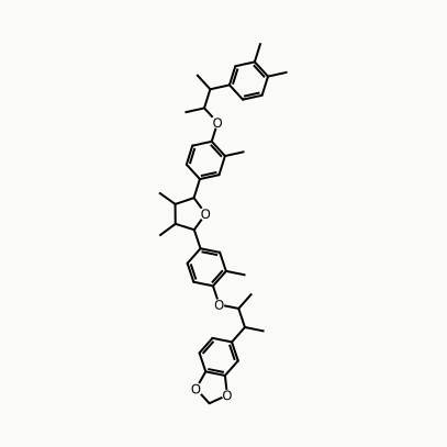 Cc1ccc(C(C)C(C)Oc2ccc(C3OC(c4ccc(OC(C)C(C)c5ccc6c(c5)OCO6)c(C)c4)C(C)C3C)cc2C)cc1C